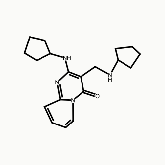 O=c1c(CNC2CCCC2)c(NC2CCCC2)nc2ccccn12